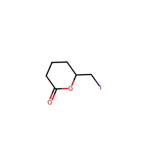 O=C1CCCC(CI)O1